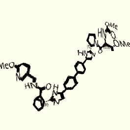 COC(=O)N[C@H](C(=O)N1CCC[C@H]1c1ncc(-c2ccc(-c3ccc(-c4cnc([C@@H]5C6CCC(C6)C5C(=O)NCc5ccc(OC)nc5)[nH]4)cc3)cc2)[nH]1)[C@@H](C)OC